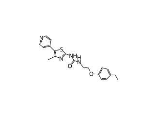 CCc1ccc(OCCNC(=O)Nc2nc(C)c(-c3ccncc3)s2)cc1